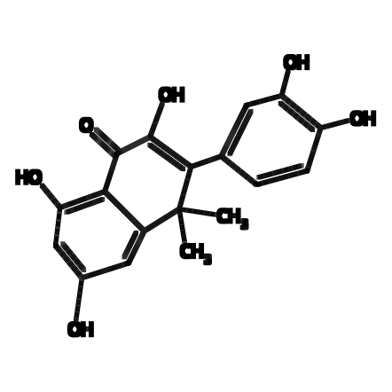 CC1(C)C(c2ccc(O)c(O)c2)=C(O)C(=O)c2c(O)cc(O)cc21